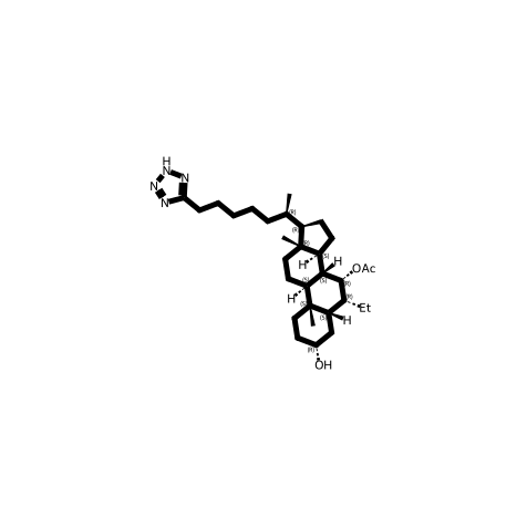 CC[C@H]1[C@@H](OC(C)=O)[C@@H]2[C@H](CC[C@]3(C)[C@@H]([C@H](C)CCCCCc4nn[nH]n4)CC[C@@H]23)[C@@]2(C)CC[C@@H](O)C[C@@H]12